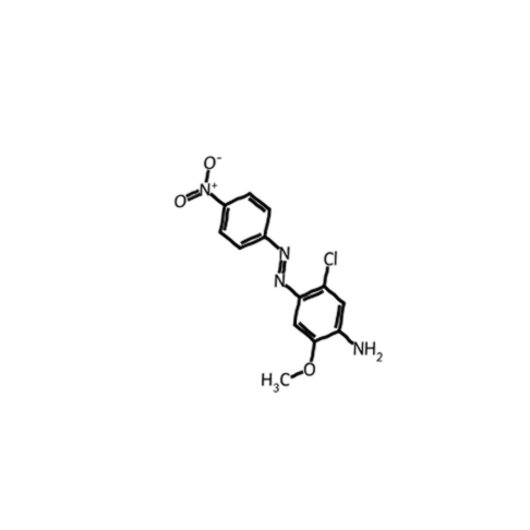 COc1cc(N=Nc2ccc([N+](=O)[O-])cc2)c(Cl)cc1N